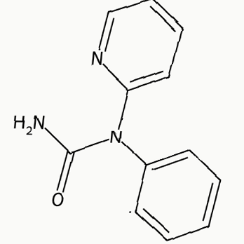 NC(=O)N(c1[c]cccc1)c1ccccn1